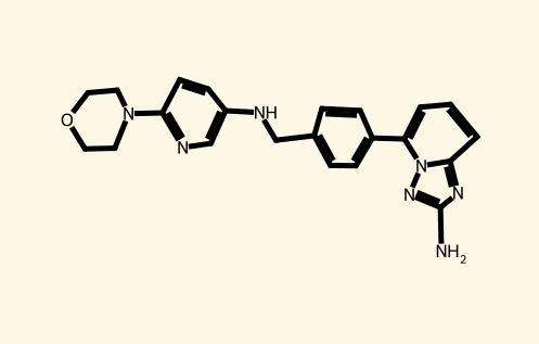 Nc1nc2cccc(-c3ccc(CNc4ccc(N5CCOCC5)nc4)cc3)n2n1